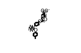 Cc1ccc(Oc2nnnn2-c2ccc(OC[C@@]3(C)Cn4cc([N+](=O)[O-])nc4O3)cc2)cc1